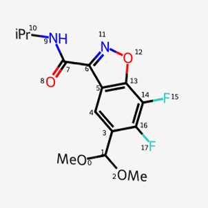 COC(OC)c1cc2c(C(=O)NC(C)C)noc2c(F)c1F